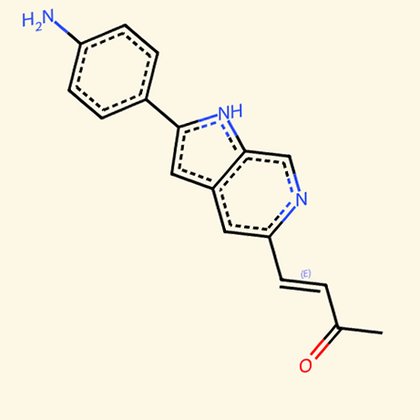 CC(=O)/C=C/c1cc2cc(-c3ccc(N)cc3)[nH]c2cn1